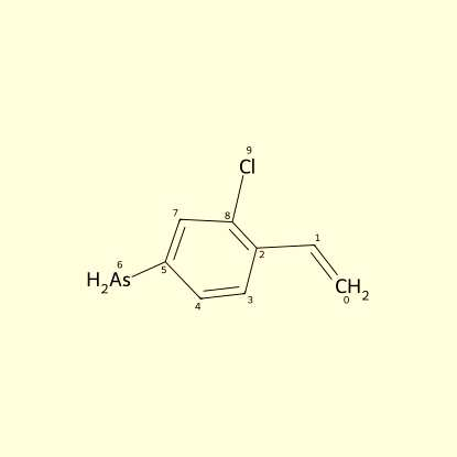 C=Cc1ccc([AsH2])cc1Cl